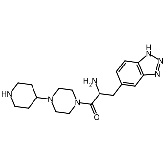 NC(Cc1ccc2[nH]nnc2c1)C(=O)N1CCN(C2CCNCC2)CC1